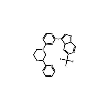 FC(F)(F)c1cn2c(-c3nccc(N4CCCC(c5ncccn5)C4)n3)cnc2cn1